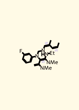 C=C(NC)/C(=C(\NC)NCC)N(CN/C=C(C)\C=C/C)c1cccc(F)c1